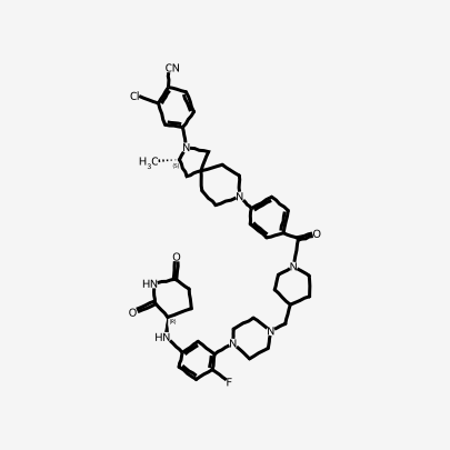 C[C@H]1CC2(CCN(c3ccc(C(=O)N4CCC(CN5CCN(c6cc(N[C@@H]7CCC(=O)NC7=O)ccc6F)CC5)CC4)cc3)CC2)CN1c1ccc(C#N)c(Cl)c1